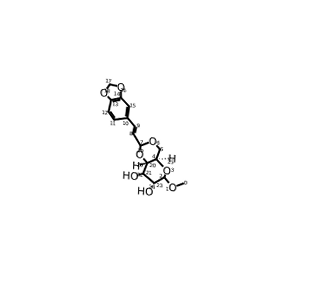 COC1O[C@@H]2COC(C=Cc3ccc4c(c3)OCO4)O[C@H]2[C@H](O)[C@H]1O